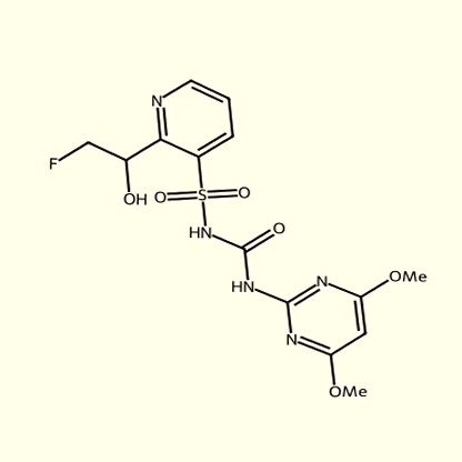 COc1cc(OC)nc(NC(=O)NS(=O)(=O)c2cccnc2C(O)CF)n1